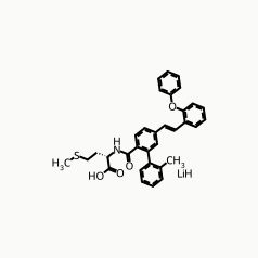 CSCC[C@H](NC(=O)c1ccc(C=Cc2ccccc2Oc2ccccc2)cc1-c1ccccc1C)C(=O)O.[LiH]